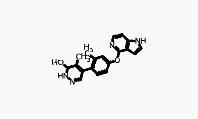 CC1=C(c2ccc(Oc3nccc4[nH]ccc34)cc2C)C=NNC1O